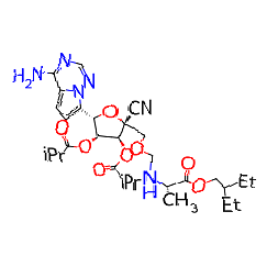 CCC(CC)COC(=O)[C@H](C)NCOC[C@@]1(C#N)O[C@@H](c2ccc3c(N)ncnn23)[C@H](OC(=O)C(C)C)[C@@H]1OC(=O)C(C)C